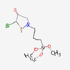 CO[Si](CCCN1CC(=O)C(Br)S1)(OC)OC